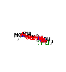 CCOc1cc(C(C)(C)C)ccc1C1=NC(C)(c2ccc(Cl)cc2)C(C)(c2ccc(Cl)cc2)N1C(=O)N1CCN(CCOCCOCCOCCOCCOCCOc2ccc(N3C(=S)N(c4ccc(C#N)c(C(F)(F)F)c4)C(=O)C3(C)C)cc2)CC1